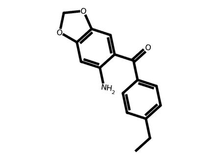 CCc1ccc(C(=O)c2cc3c(cc2N)OCO3)cc1